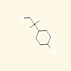 CCC(F)(F)C1CCC(O)CC1